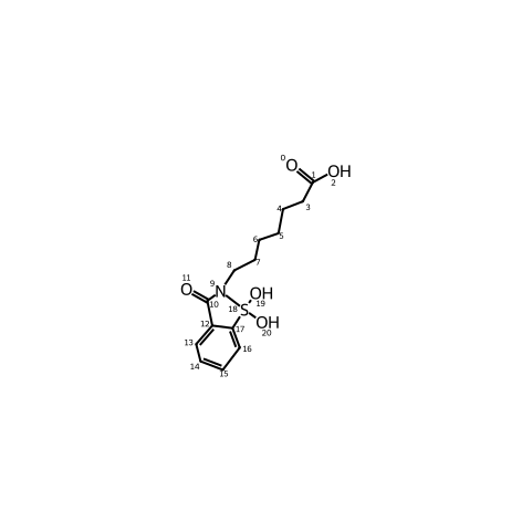 O=C(O)CCCCCCN1C(=O)c2ccccc2S1(O)O